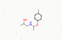 Cc1ccc(OC(C)NCC(C)O)cc1